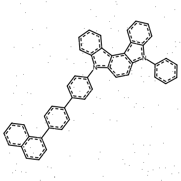 c1ccc(-n2c3ccccc3c3c4c5ccccc5n(-c5ccc(-c6ccc(-c7cccc8ccccc78)cc6)cc5)c4ccc32)cc1